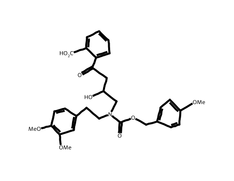 COc1ccc(COC(=O)N(CCc2ccc(OC)c(OC)c2)CC(O)CC(=O)c2ccccc2C(=O)O)cc1